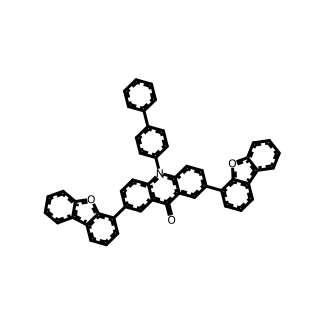 O=c1c2cc(-c3cccc4c3oc3ccccc34)ccc2n(-c2ccc(-c3ccccc3)cc2)c2ccc(-c3cccc4c3oc3ccccc34)cc12